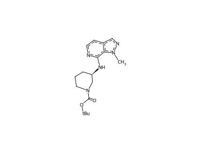 Cn1ncc2ccnc(N[C@@H]3CCCN(C(=O)OC(C)(C)C)C3)c21